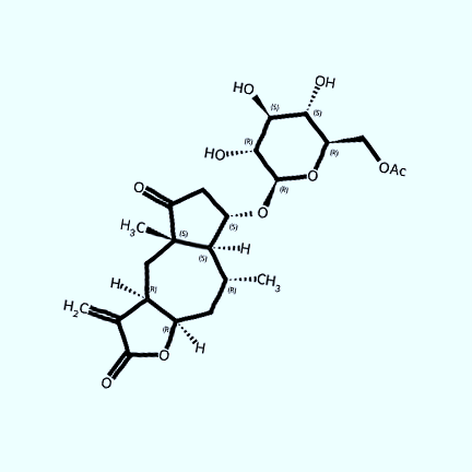 C=C1C(=O)O[C@@H]2C[C@@H](C)[C@@H]3[C@@H](O[C@@H]4O[C@H](COC(C)=O)[C@@H](O)[C@H](O)[C@H]4O)CC(=O)[C@@]3(C)C[C@H]12